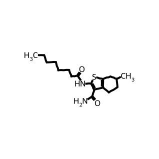 CCCCCCCC(=O)Nc1sc2c(c1C(N)=O)CCC(C)C2